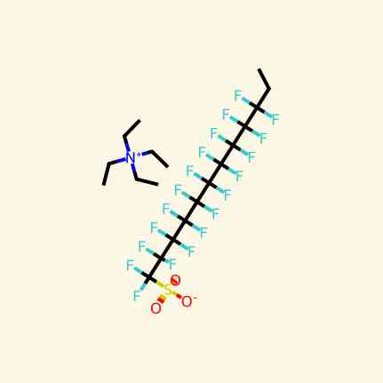 CCC(F)(F)C(F)(F)C(F)(F)C(F)(F)C(F)(F)C(F)(F)C(F)(F)C(F)(F)C(F)(F)C(F)(F)S(=O)(=O)[O-].CC[N+](CC)(CC)CC